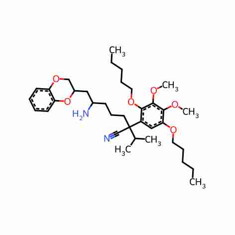 CCCCCOc1cc(C(C#N)(CCCC(N)CC2COc3ccccc3O2)C(C)C)c(OCCCCC)c(OC)c1OC